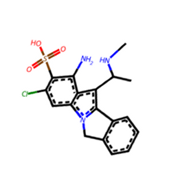 CNC(C)c1c2n(c3cc(Cl)c(S(=O)(=O)O)c(N)c13)Cc1ccccc1-2